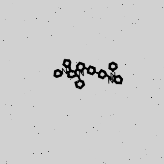 c1ccc(-c2nc3c(-c4ccc(-c5ccc(-c6nc7ccccc7n6-c6ccccc6)cc5)cc4)cccc3c3c2ccc2c3c3ccccc3n2-c2ccccc2)cc1